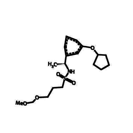 COCOCCCS(=O)(=O)N[C@H](C)c1cccc(OC2CCCC2)c1